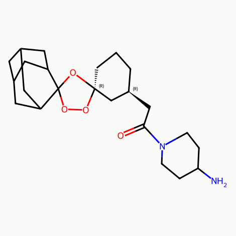 NC1CCN(C(=O)C[C@@H]2CCC[C@]3(C2)OOC2(O3)C3CC4CC(C3)CC2C4)CC1